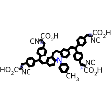 [C-]#[N+]/C(=C\c1ccc(C(=Cc2ccc3c(c2)CCc2cc(C=C(c4ccc(/C=C(\[N+]#[C-])C(=O)O)cc4)c4ccc(/C=C(\[N+]#[C-])C(=O)O)cc4)ccc2N3c2ccc(C)cc2)c2ccc(/C=C(\[N+]#[C-])C(=O)O)cc2)cc1)C(=O)O